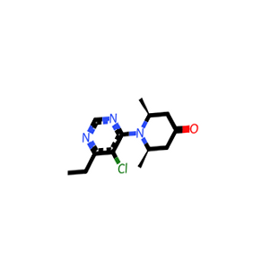 CCc1ncnc(N2[C@H](C)CC(=O)C[C@@H]2C)c1Cl